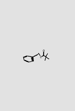 CC(C)(C)C(=O)O[CH]c1ccccc1